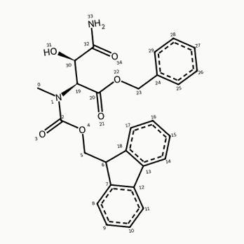 CN(C(=O)OCC1c2ccccc2-c2ccccc21)[C@H](C(=O)OCc1ccccc1)[C@@H](O)C(N)=O